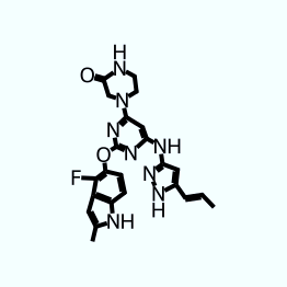 C/C=C/c1cc(Nc2cc(N3CCNC(=O)C3)nc(Oc3ccc4[nH]c(C)cc4c3F)n2)n[nH]1